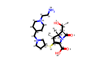 C[C@@H](O)[C@H]1C(=O)N2C(C(=O)O)=C(S[C@@H]3CCN(CC4CCN(CCN)CC4)C3)[C@H](C)[C@H]12